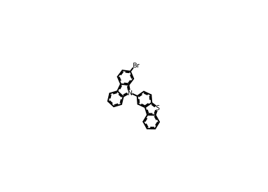 Brc1ccc2c3ccccc3n(-c3ccc4sc5ccccc5c4c3)c2c1